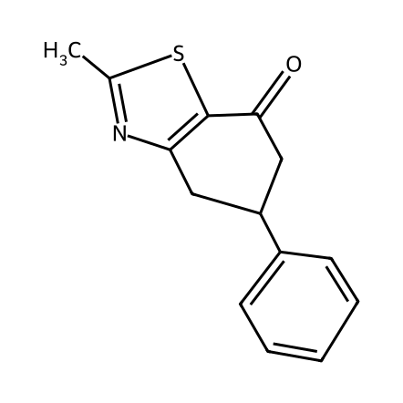 Cc1nc2c(s1)C(=O)CC(c1ccccc1)C2